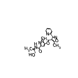 Cc1onc(-c2ccccn2)c1COc1cc(C(=O)N[C@H](C)CO)nn1C